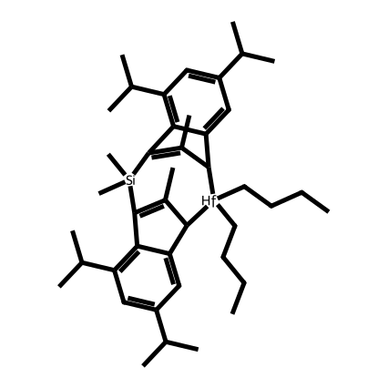 CCC[CH2][Hf]1([CH2]CCC)[CH]2C(C)=C(c3c(C(C)C)cc(C(C)C)cc32)[Si](C)(C)C2=C(C)[CH]1c1cc(C(C)C)cc(C(C)C)c12